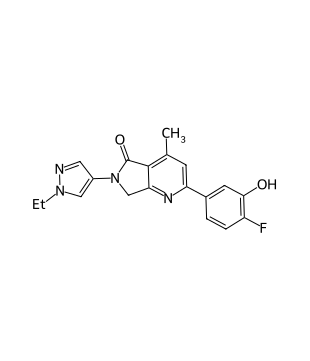 CCn1cc(N2Cc3nc(-c4ccc(F)c(O)c4)cc(C)c3C2=O)cn1